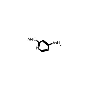 COc1cc([AsH2])ccn1